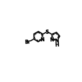 Brc1ccc(Sc2cc[nH]n2)nc1